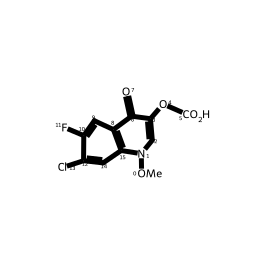 COn1cc(OC(=O)O)c(=O)c2cc(F)c(Cl)cc21